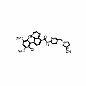 COc1cc(OC)c(Cl)c(-c2ccc(C(=O)Nc3ccc(CN4CC[C@@H](O)C4)cn3)c3nccnc23)c1Cl